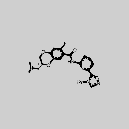 CC(C)n1cnnc1-c1cccc(NC(=O)c2cc3c(cc2F)OC[C@@H](CN(C)C)O3)n1